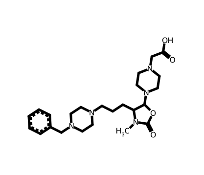 CN1C(=O)OC(N2CCN(CC(=O)O)CC2)C1CCCN1CCN(Cc2ccccc2)CC1